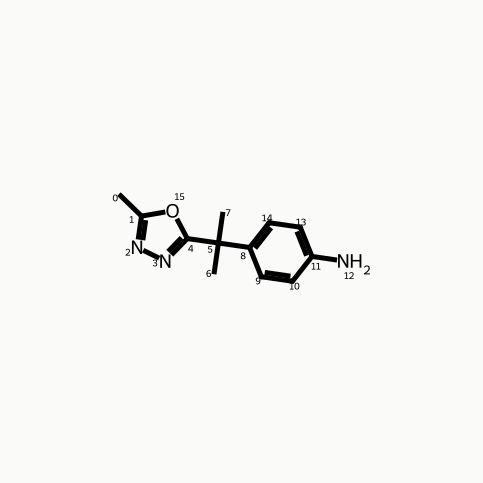 Cc1nnc(C(C)(C)c2ccc(N)cc2)o1